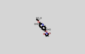 O=CC1(COCCS(=O)(=O)O)C=CC2=C(C=CC(C=O)(CON3C(=O)CCC3=O)C=C2)N=C1